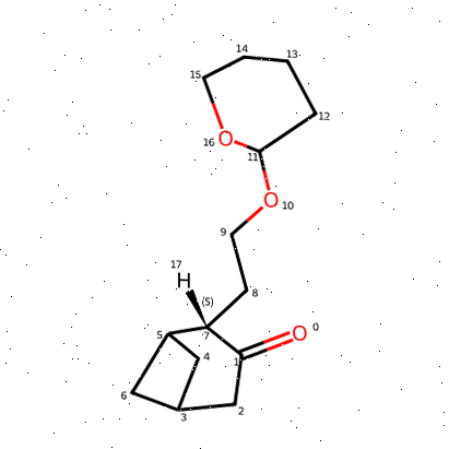 O=C1CC2CC(C2)[C@@H]1CCOC1CCCCO1